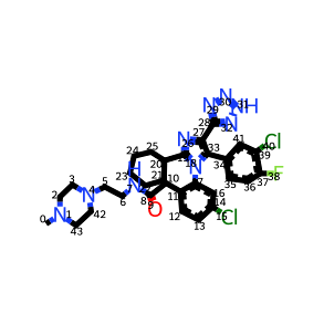 CN1CCN(CCNC(=O)Cc2ccc(Cl)cc2-n2c(C3CCCCC3)nc(-c3nn[nH]n3)c2-c2ccc(F)c(Cl)c2)CC1